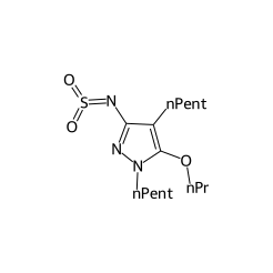 CCCCCc1c(N=S(=O)=O)nn(CCCCC)c1OCCC